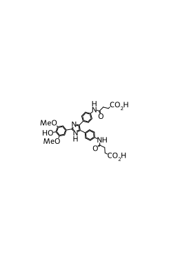 COc1cc(-c2nc(-c3ccc(NC(=O)CCC(=O)O)cc3)c(-c3ccc(NC(=O)CCC(=O)O)cc3)[nH]2)cc(OC)c1O